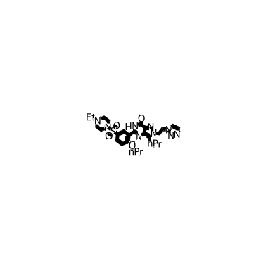 CCCOc1ccc(S(=O)(=O)N2CCN(CC)CC2)cc1-c1nc2c(CCC)n(CCn3ccnn3)nc2c(=O)[nH]1